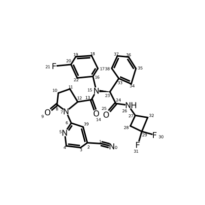 N#Cc1ccnc(N2C(=O)CCC2C(=O)N(c2cccc(F)c2)[C@H](C(=O)NC2CC(F)(F)C2)c2ccccc2)c1